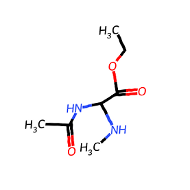 CCOC(=O)C(NC)NC(C)=O